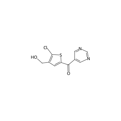 O=C(c1cncnc1)c1cc(CO)c(Cl)s1